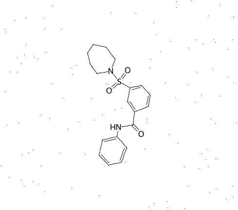 O=C(Nc1ccccc1)c1cccc(S(=O)(=O)N2CCCCCC2)c1